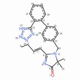 CC/C=C/C1=NC(=O)C(C)(C)N1Cc1ccc(-c2ccccc2-c2nnn[nH]2)cc1